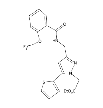 CCOC(=O)Cn1nc(CNC(=O)c2ccccc2OC(F)(F)F)cc1-c1cccs1